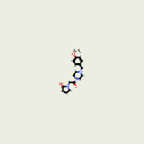 COc1ccc(CN2CCN(C(=O)CN3CCCC3=O)CC2)cc1